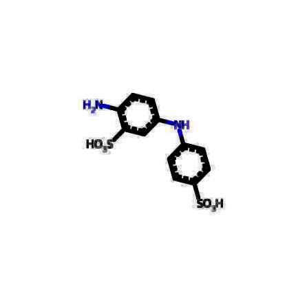 Nc1ccc(Nc2ccc(S(=O)(=O)O)cc2)cc1S(=O)(=O)O